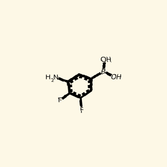 Nc1cc(B(O)O)cc(F)c1F